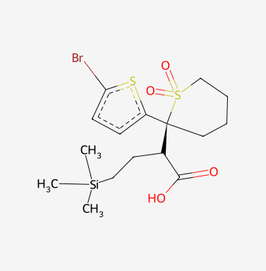 C[Si](C)(C)CCC(C(=O)O)[C@]1(c2ccc(Br)s2)CCCCS1(=O)=O